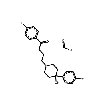 O=C(CCCN1CCC(O)(c2ccc(Cl)cc2)CC1)c1ccc(F)cc1.O=CO